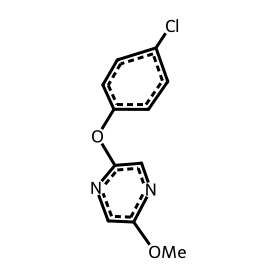 COc1cnc(Oc2ccc(Cl)cc2)cn1